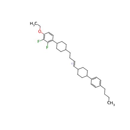 CCCCc1ccc(C2CCC(/C=C/CCC3CCC(c4ccc(OCC)c(F)c4F)CC3)CC2)cc1